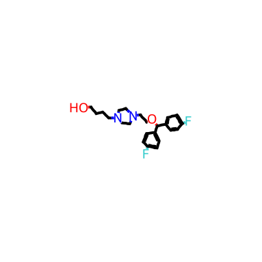 OCCCCN1CCN(CCOC(c2ccc(F)cc2)c2ccc(F)cc2)CC1